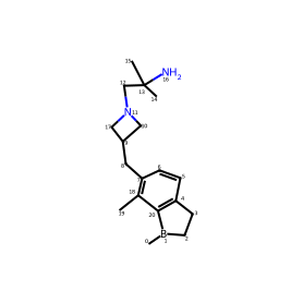 CB1CCc2ccc(CC3CN(CC(C)(C)N)C3)c(C)c21